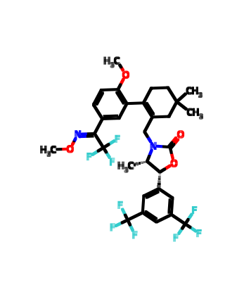 CO/N=C(/c1ccc(OC)c(C2=C(CN3C(=O)O[C@H](c4cc(C(F)(F)F)cc(C(F)(F)F)c4)[C@@H]3C)CC(C)(C)CC2)c1)C(F)(F)F